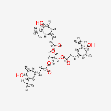 CCC(COC(=O)CCc1cc(C)c(O)c(C(C)(C)C)c1)(COC(=O)CCc1cc(C)c(O)c(C(C)(C)C)c1)COC(=O)CCc1cc(C)c(O)c(C(C)(C)C)c1